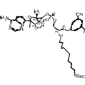 CCCCCCCCCCCCCCCCCCOC[C@H](COP(=O)(O)OC1[C@H]2O[C@@](C)(c3ccc4c(N)ncnn34)[C@H](O)[C@@]12O)OCc1cc(F)cc(C#N)c1